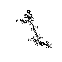 CC1NCSC1c1ccc(CNC(=O)[C@@H]2C[C@@H](O)CN2C(=O)[C@@H](NC(=O)CCCCC(=O)NCCCC[C@H](NC(=O)C2CCN(S(C)(=O)=O)C2)C(=O)NC2SCC(c3ccccc3)N2C2CCCCC2)C(C)(C)C)cc1